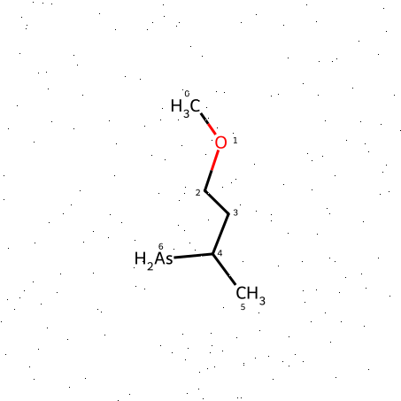 COCCC(C)[AsH2]